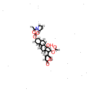 CC(=O)OC1CC2(O)C3CCC4CC(OC(=O)OC(C)N5CCCC5)CCC4(C)C3CCC2(C)C1c1ccc(=O)oc1